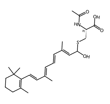 CC(=O)N[C@@H](CSC(O)C=C(C)C=CC=C(C)C=CC1=C(C)CCCC1(C)C)C(=O)O